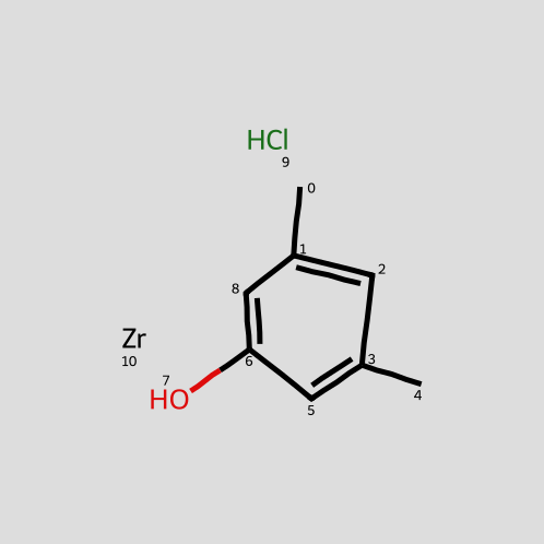 Cc1cc(C)cc(O)c1.Cl.[Zr]